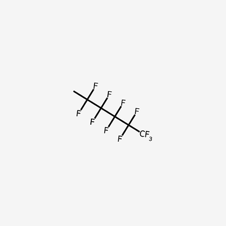 CC(F)(F)C(F)(F)C(F)(F)C(F)(F)C(F)(F)F